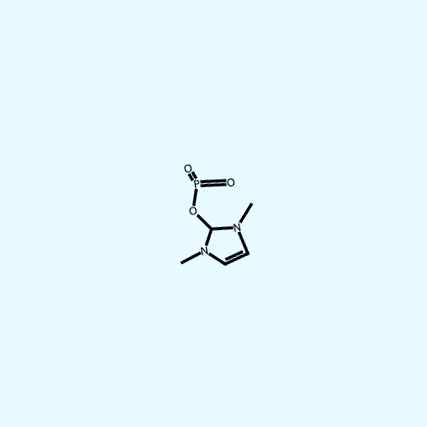 CN1C=CN(C)C1OP(=O)=O